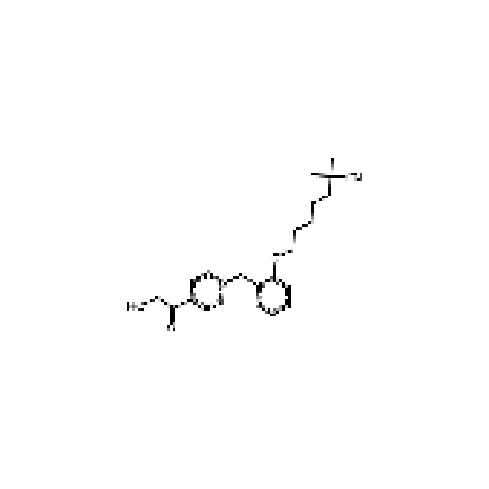 CC(C)(C#N)CCCCCOc1ccccc1Cc1ccc(C(=O)CO)cc1